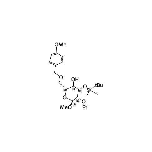 CCO[C@@H]1[C@@H](OC)O[C@H](COCc2ccc(OC)cc2)[C@@H](O)[C@@H]1O[Si](C)(C)C(C)(C)C